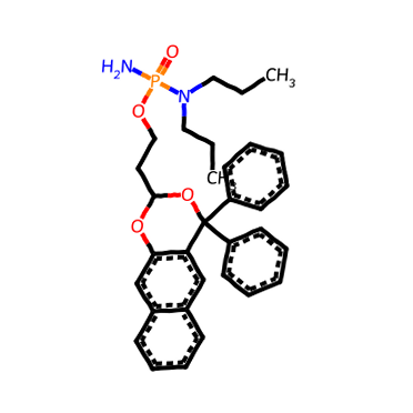 CCCN(CCC)P(N)(=O)OCCC1Oc2cc3ccccc3cc2C(c2ccccc2)(c2ccccc2)O1